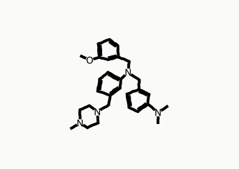 COc1cccc(CN(Cc2cccc(N(C)C)c2)c2cccc(CN3CCN(C)CC3)c2)c1